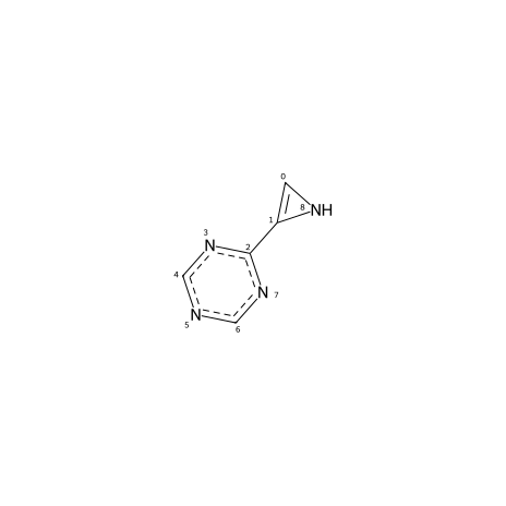 C1=C(c2ncncn2)N1